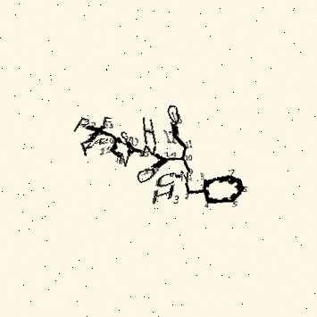 CN(Cc1ccccc1)CC(CC=O)C(=O)Nc1ncc(C(F)(F)F)s1